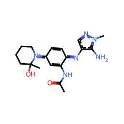 CC(=O)NC1=CC(=[N+]2CCCCC2(C)O)C=CC1=Nc1cnn(C)c1N